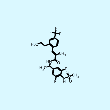 CCCc1cc(C(F)(F)F)ccc1/C=C(\C)C(=O)N[C@H](C)c1cc(F)c(NS(C)(=O)=O)c(F)c1